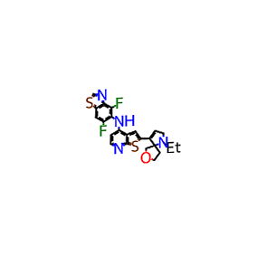 CCN1CC=C(c2cc3c(Nc4c(F)cc5scnc5c4F)ccnc3s2)C12CCOC2